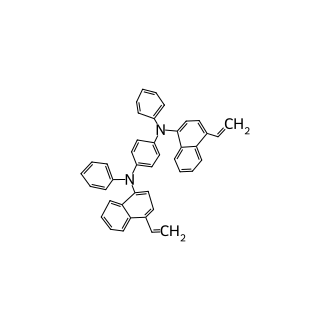 C=Cc1ccc(N(c2ccccc2)c2ccc(N(c3ccccc3)c3ccc(C=C)c4ccccc34)cc2)c2ccccc12